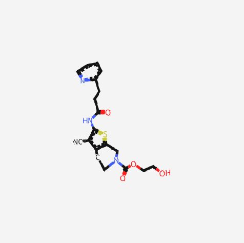 N#Cc1c(NC(=O)CCc2ccccn2)sc2c1CCN(C(=O)OCCO)C2